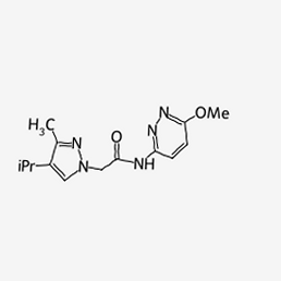 COc1ccc(NC(=O)Cn2cc(C(C)C)c(C)n2)nn1